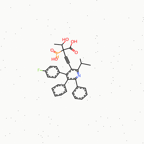 CC(C)c1nc(-c2ccccc2)c(-c2ccccc2)c(-c2ccc(F)cc2)c1C#CC(C(=O)O)(C(C)O)[PH](=O)O